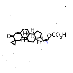 CC[C@]12CC[C@H]3[C@@H](CCC4=CC(=O)C5(CC5)C[C@@H]43)[C@@H]1CC[C@H]2/C=C\OC(=O)O